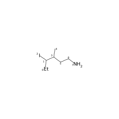 CCC(I)C(C)CCN